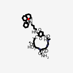 CO[C@H]1/C=C\C=C(/C)C(=O)NC2=CC(=O)C(NCCCCNB(C3CCCCC3)C3(C4CCCCC4)CCCCC3)=C(C[C@@H](C)C[C@H](OC)[C@H](O)[C@@H](C)/C=C(\C)[C@@H]1OC(N)=O)C2=O